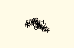 Cc1onc(-c2ncc(C(F)(F)F)cn2)c1Cn1ncc(N2CC3(CCC(F)CO3)C2)cc1=O